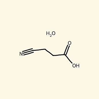 N#CCCC(=O)O.O